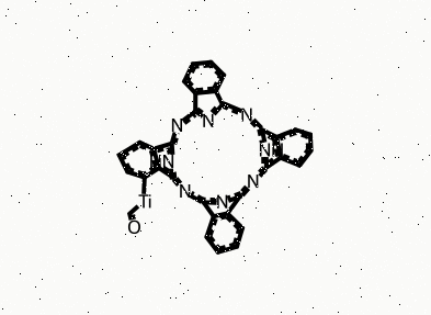 O=[CH][Ti][c]1cccc2c3nc4nc(nc5[nH]c(nc6nc(nc([nH]3)c12)-c1ccccc1-6)c1ccccc51)-c1ccccc1-4